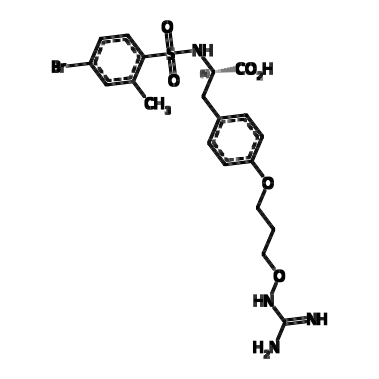 Cc1cc(Br)ccc1S(=O)(=O)N[C@@H](Cc1ccc(OCCCONC(=N)N)cc1)C(=O)O